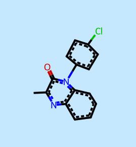 Cc1nc2ccccc2n(-c2ccc(Cl)cc2)c1=O